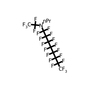 CCCN(C(F)(F)C(F)(F)F)C(F)(F)C(F)(F)C(F)(F)C(F)(F)C(F)(F)C(F)(F)C(F)(F)C(F)(F)F